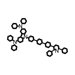 c1ccc(-c2ccc(-c3ccc(-c4ccc(-c5ccc(-n6c7ccc(N(c8ccccc8)c8ccccc8)cc7c7cc(N(c8ccccc8)c8ccccc8)ccc76)cc5)cc4)cc3)c(-c3ccccc3)n2)cc1